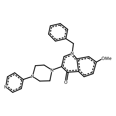 COc1ccc2c(=O)c(N3CCN(c4ccncc4)CC3)cn(Cc3ccccc3)c2c1